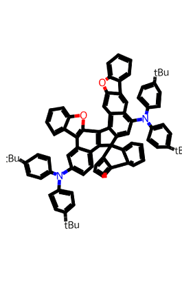 CC(C)(C)c1ccc(N(c2ccc(C(C)(C)C)cc2)c2ccc3c4c(c5oc6ccccc6c5c3c2)-c2c(cc(N(c3ccc(C(C)(C)C)cc3)c3ccc(C(C)(C)C)cc3)c3cc5c(cc23)oc2ccccc25)C42c3ccccc3-c3ccccc32)cc1